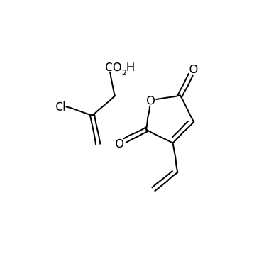 C=C(Cl)CC(=O)O.C=CC1=CC(=O)OC1=O